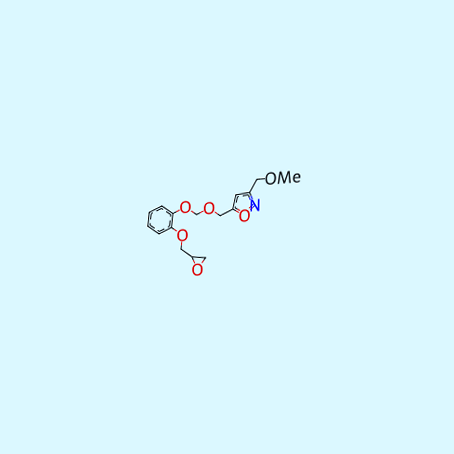 COCc1cc(COCOc2ccccc2OCC2CO2)on1